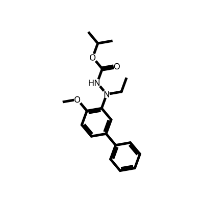 CCN(NC(=O)OC(C)C)c1cc(-c2ccccc2)ccc1OC